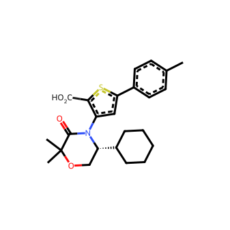 Cc1ccc(-c2cc(N3C(=O)C(C)(C)OC[C@H]3C3CCCCC3)c(C(=O)O)s2)cc1